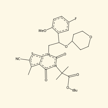 COc1ccc(F)cc1C(Cn1c(=O)n(C(C)(C)C(=O)OC(C)(C)C)c(=O)c2c(C)c(C#N)sc21)OC1CCOCC1